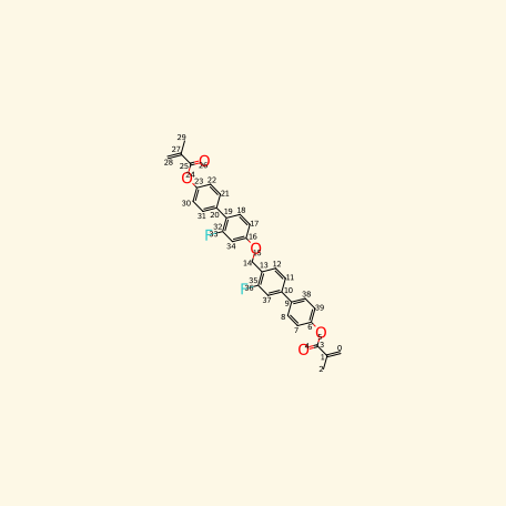 C=C(C)C(=O)Oc1ccc(-c2ccc(COc3ccc(-c4ccc(OC(=O)C(=C)C)cc4)c(F)c3)c(F)c2)cc1